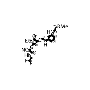 CCn1c(=C=C(C#N)C(=O)NCC(F)F)sc(=C=CNc2cccc(NCCOC)c2)c1=O